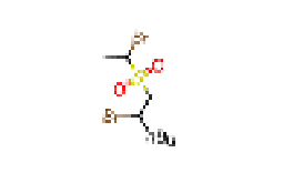 CCCCC(Br)CS(=O)(=O)C(C)Br